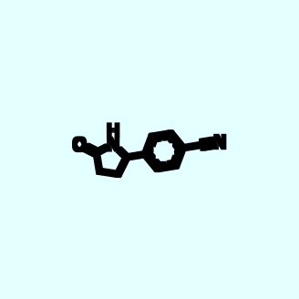 N#Cc1ccc(C2CCC(=O)N2)cc1